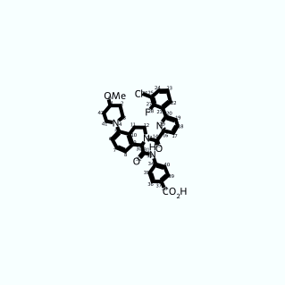 COC1CCN(c2cccc3c2CCN(C(=O)c2cccc(-c4cccc(Cl)c4F)n2)C3C(=O)Nc2ccc(C(=O)O)cc2)CC1